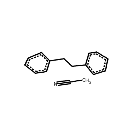 CC#N.c1ccc(CCc2ccccc2)cc1